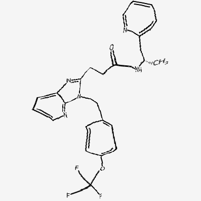 C[C@H](NC(=O)CCc1nc2cccnc2n1Cc1ccc(OC(F)(F)F)cc1)c1ccccn1